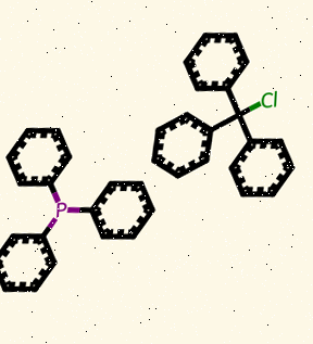 ClC(c1ccccc1)(c1ccccc1)c1ccccc1.c1ccc(P(c2ccccc2)c2ccccc2)cc1